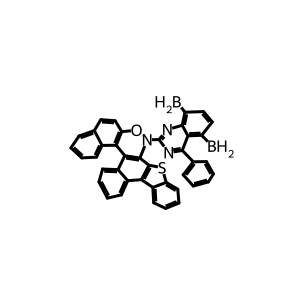 Bc1ccc(B)c2c(-c3ccccc3)nc(N3Oc4ccc5ccccc5c4-c4c3c3sc5ccccc5c3c3ccccc43)nc12